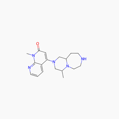 CC1CN(c2cc(=O)n(C)c3ncccc23)CC2CCNCCN12